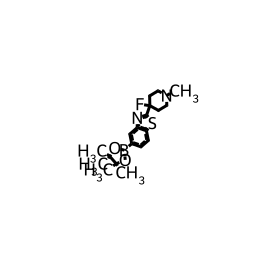 CN1CCC(F)(c2nc3cc(B4OC(C)(C)C(C)(C)O4)ccc3s2)CC1